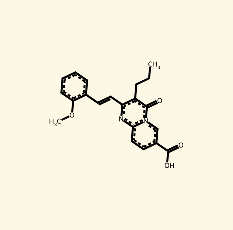 CCCc1c(C=Cc2ccccc2OC)nc2ccc(C(=O)O)cn2c1=O